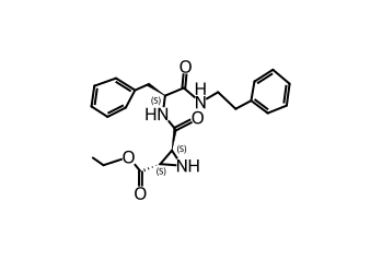 CCOC(=O)[C@H]1N[C@@H]1C(=O)N[C@@H](Cc1ccccc1)C(=O)NCCc1ccccc1